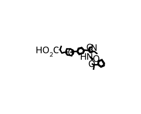 Cc1noc(-c2ccc(C34CCC(C[C@@H](C)C(=O)O)(CC3)CO4)cc2)c1NC(=O)OC(C)c1ccccc1